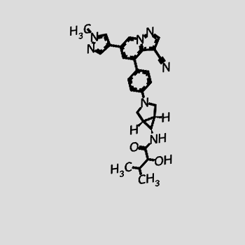 CC(C)C(O)C(=O)N[C@@H]1[C@@H]2CN(c3ccc(-c4cc(-c5cnn(C)c5)cn5ncc(C#N)c45)cc3)C[C@@H]21